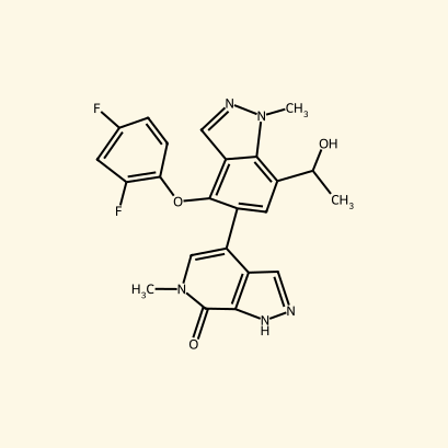 CC(O)c1cc(-c2cn(C)c(=O)c3[nH]ncc23)c(Oc2ccc(F)cc2F)c2cnn(C)c12